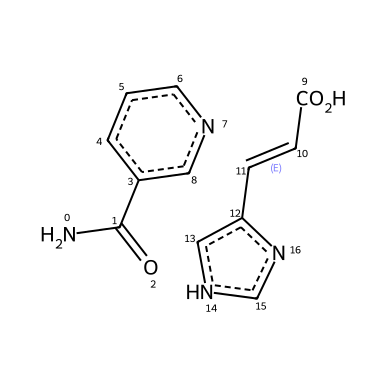 NC(=O)c1cccnc1.O=C(O)/C=C/c1c[nH]cn1